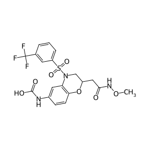 CONC(=O)CC1CN(S(=O)(=O)c2cccc(C(F)(F)F)c2)c2cc(NC(=O)O)ccc2O1